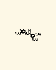 Cc1ccc(C(C)(C)CNc2cc(C(C)(C)C)cc(C(C)(C)C)c2)cc1C(C)(C)C